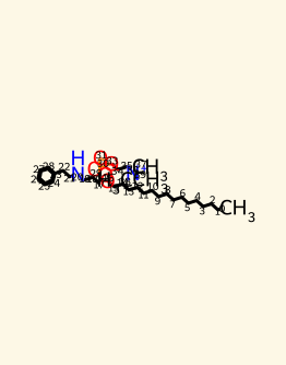 CCCCCCCCCCCCCCCCOCC(CNCCc1ccccc1)OP(=O)([O-])OCC[N+](C)(C)C